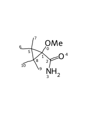 COC1(C(N)=O)C(C)(C)C1(C)C